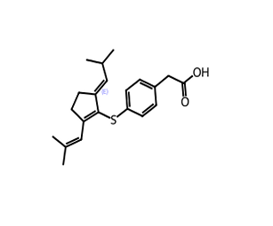 CC(C)=CC1=C(Sc2ccc(CC(=O)O)cc2)/C(=C/C(C)C)CC1